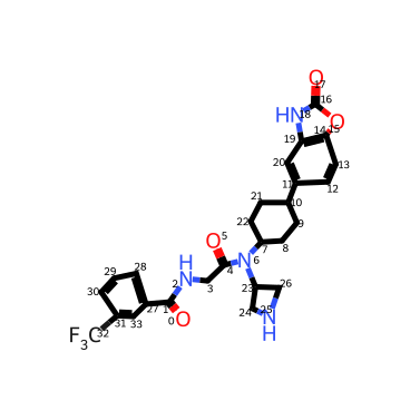 O=C(NCC(=O)N(C1CCC(c2ccc3oc(=O)[nH]c3c2)CC1)C1CNC1)c1cccc(C(F)(F)F)c1